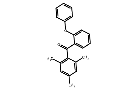 Cc1cc(C)c(C(=O)c2ccccc2Oc2ccccc2)c(C)c1